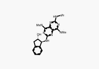 CCCNc1nc(NC)c2nc(N[C@H]3c4ccccc4C[C@@H]3O)nc(NC)c2n1